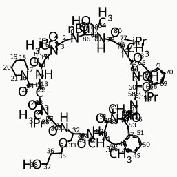 CCCCN1CC(=O)N(C)[C@@H](CC(C)C)C(=O)N[C@H](C(=O)N2CCCCC2)CC(=O)N(C)[C@@H](C(C)C)C(=O)NC(COCCCO)C(=O)N(C)[C@H]2CC(C)c3ccccc3C[C@@H](C(=O)N[C@@H](C(C)C)C(=O)N(C)[C@@H](Cc3ccccc3)C(=O)N(C)[C@@H](CC(C)C)C(=O)N[C@@H]([C@@H](C)O)C1=O)N(C)C2=O